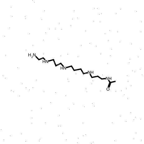 CC(=O)NCCCNCCCCNCCCNCCN